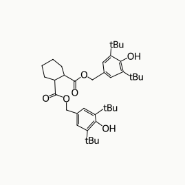 CC(C)(C)c1cc(COC(=O)C2CCCCC2C(=O)OCc2cc(C(C)(C)C)c(O)c(C(C)(C)C)c2)cc(C(C)(C)C)c1O